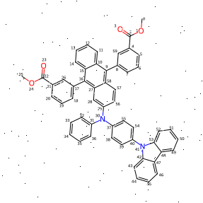 COC(=O)c1cccc(-c2c3ccccc3c(-c3cccc(C(=O)OC)c3)c3cc(N(c4ccccc4)c4ccc(-n5c6ccccc6c6ccccc65)cc4)ccc23)c1